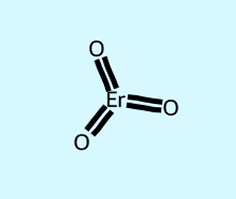 [O]=[Er](=[O])=[O]